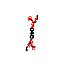 C#CCOCC(COc1ccc(C(C)(C)c2ccc(OCC(COCC#C)OCC3CO3)cc2)cc1)OCC1CO1